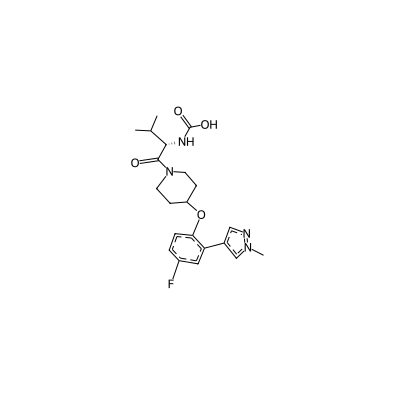 CC(C)[C@H](NC(=O)O)C(=O)N1CCC(Oc2ccc(F)cc2-c2cnn(C)c2)CC1